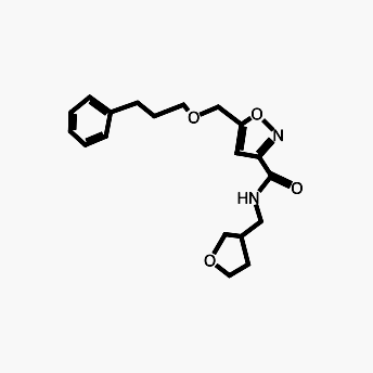 O=C(NCC1CCOC1)c1cc(COCCCc2ccccc2)on1